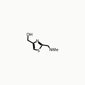 CNCc1nc(CO)cs1